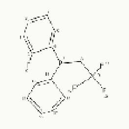 Fc1ccccc1P(CC(F)(F)F)c1ccccc1